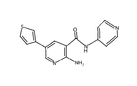 Nc1ncc(-c2ccsc2)cc1C(=O)Nc1ccncc1